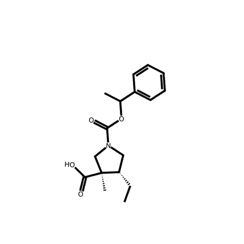 CC[C@H]1CN(C(=O)OC(C)c2ccccc2)C[C@]1(C)C(=O)O